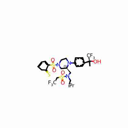 CC(C)CN(C[C@H]1CN(S(=O)(=O)C2=CC=CCC2=S)CCN1c1ccc([C@@](C)(O)C(F)(F)F)cc1)S(=O)(=O)CC(F)(F)F